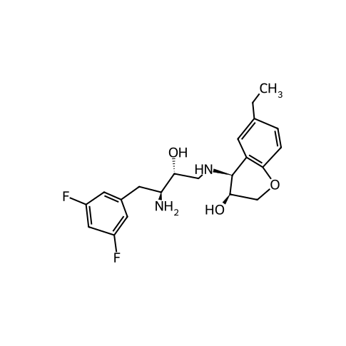 CCc1ccc2c(c1)[C@H](NC[C@@H](O)[C@@H](N)Cc1cc(F)cc(F)c1)[C@H](O)CO2